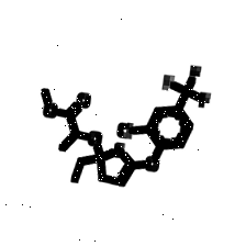 CCC1(OC(C)C(=O)OC)CC=C(Oc2ccc(C(F)(F)F)cc2Cl)S1